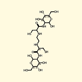 O=C(NC1C(O)O[C@H](CO)[C@@H](O)[C@@H]1O)C(CS)NCCN[C@@H](CS)C(=O)NC1C(O)O[C@H](CO)[C@@H](O)[C@@H]1O